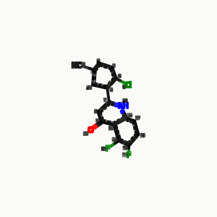 N#Cc1ccc(Cl)c(-c2cc(=O)c3c(F)c(F)ccc3[nH]2)c1